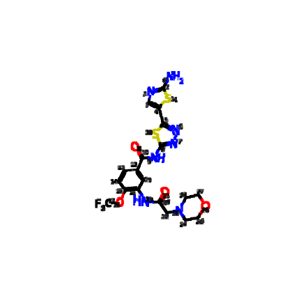 Nc1ncc(-c2nnc(NC(=O)c3ccc(OC(F)(F)F)c(NC(=O)CN4CCOCC4)c3)s2)s1